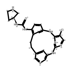 O=C(Nc1ccc2cc1CCc1cncc(c1)Nc1ncc(Cl)c(n1)N2)N[C@H]1CCNC1